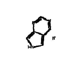 [H+].c1ncc2c[nH]cc2n1